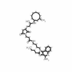 CCCCc1nc2c(N)nc3ccccc3c2n1CCCCNC(=O)CCN1C(=O)CC(SCC(O)NC2CCCCCCC(C)C2)C1=O